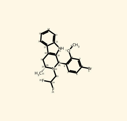 COc1cc(Br)ccc1[C@@H]1c2[nH]c3ccccc3c2C[C@@H](C)N1CC(F)F